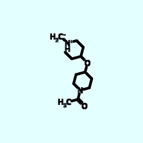 [CH2-][NH+]1CCC(OC2CCN(C(C)=O)CC2)CC1